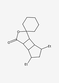 CCC1CC(CC)C2C1C1C(=O)OC3(CCCCC3)C12